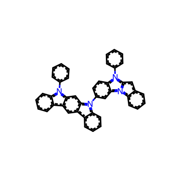 c1ccc(-n2c3ccccc3c3cc4c5ccccc5n(-c5ccc6c(c5)n5c7ccccc7cc5n6-c5ccccc5)c4cc32)cc1